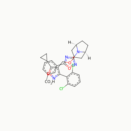 O=C(O)c1cccc(-c2nc(N3[C@@H]4CC[C@H]3CC(OCc3c(-c5c(Cl)cccc5Cl)noc3C3CC3)C4)no2)c1